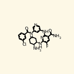 NC(=O)c1cc(F)c(N[C@@H]2CCCC[C@@H]2N)nc1Nc1cncc(NC(=O)c2cccc(Cl)c2)c1